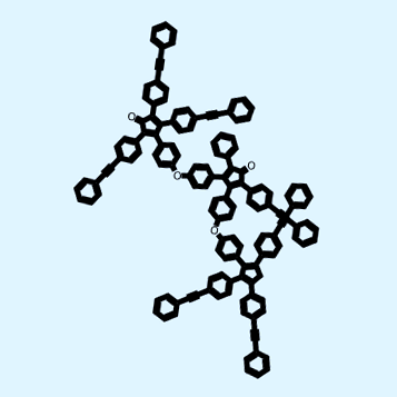 O=C1C(c2ccc(C#Cc3ccccc3)cc2)=C(c2ccc(C#Cc3ccccc3)cc2)C(c2ccc(Oc3ccc(C4=C(c5ccccc5)C(=O)C(c5ccc(C#Cc6ccccc6)cc5)=C4c4ccc(Oc5ccc(C6=C(c7ccc(C#Cc8ccccc8)cc7)CC(c7ccc(C#Cc8ccccc8)cc7)=C6c6ccc(C#Cc7ccccc7)cc6)cc5)cc4)cc3)cc2)=C1c1ccc(C#Cc2ccccc2)cc1